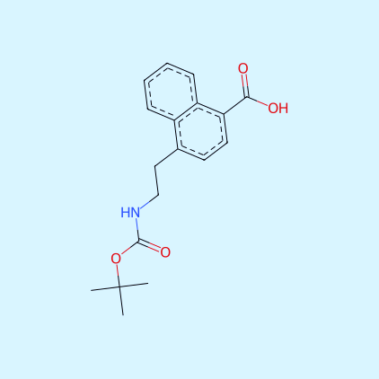 CC(C)(C)OC(=O)NCCc1ccc(C(=O)O)c2ccccc12